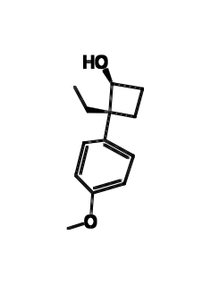 CC[C@]1(c2ccc(OC)cc2)CC[C@@H]1O